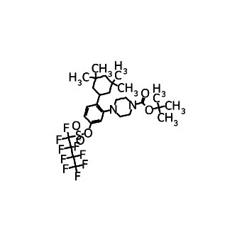 CC1(C)CC(c2ccc(OS(=O)(=O)C(F)(F)C(F)(F)C(F)(F)C(F)(F)F)cc2N2CCN(C(=O)OC(C)(C)C)CC2)CC(C)(C)C1